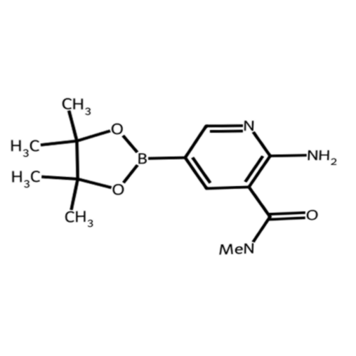 CNC(=O)c1cc(B2OC(C)(C)C(C)(C)O2)cnc1N